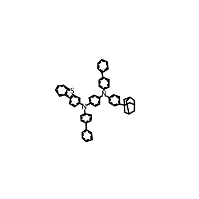 c1ccc(-c2ccc(N(c3ccc(N(c4ccc(-c5ccccc5)cc4)c4ccc5c(c4)sc4ccccc45)cc3)c3ccc(C45CC6CC(CC(C6)C4)C5)cc3)cc2)cc1